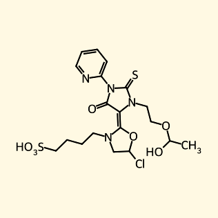 CC(O)OCCN1C(=S)N(c2ccccn2)C(=O)C1=C1OC(Cl)CN1CCCCS(=O)(=O)O